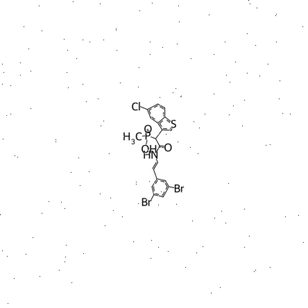 CP(=O)(O)C(C(=O)N/C=C/c1cc(Br)cc(Br)c1)c1csc2ccc(Cl)cc12